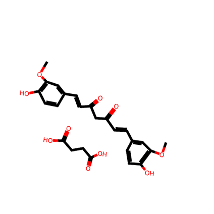 COc1cc(/C=C/C(=O)CC(=O)/C=C/c2ccc(O)c(OC)c2)ccc1O.O=C(O)CCC(=O)O